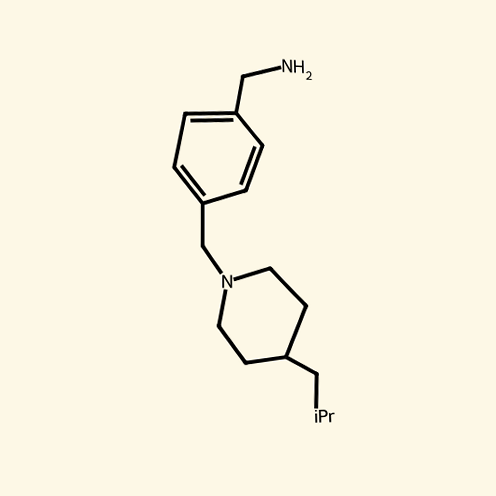 CC(C)CC1CCN(Cc2ccc(CN)cc2)CC1